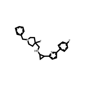 Fc1ccc(-c2ccc(C3CC3NCC3(F)CCN(Cc4ccccc4)CC3)s2)cc1